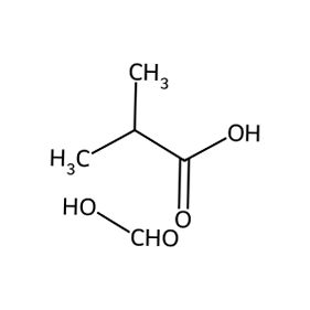 CC(C)C(=O)O.O=CO